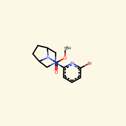 CC(C)(C)OC(=O)N1C2CCC1CN(c1cccc(Br)n1)C2